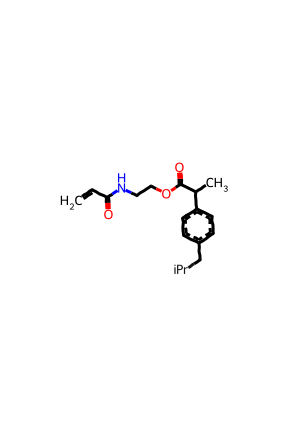 C=CC(=O)NCCOC(=O)C(C)c1ccc(CC(C)C)cc1